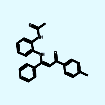 CC(=O)Nc1ccccc1N/C(=C\C(=O)c1ccc(C)cc1)c1ccccc1